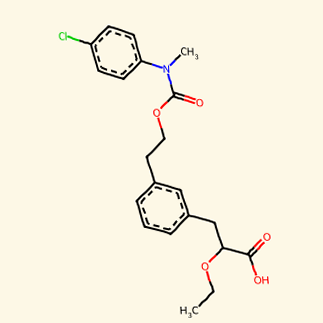 CCOC(Cc1cccc(CCOC(=O)N(C)c2ccc(Cl)cc2)c1)C(=O)O